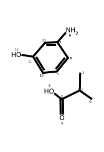 CC(C)C(=O)O.Nc1cccc(O)c1